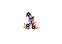 COc1cc(C[C@H](NC(=O)c2cccc(O)c2C)[C@H](O)C(=O)N2CSC(C)(C)C2C(=O)NCc2c(C)cccc2C)cc(OC)c1OC